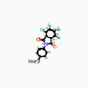 COc1ccc(N2C(=O)c3c(F)c(F)c(F)c(F)c3C2=O)cc1